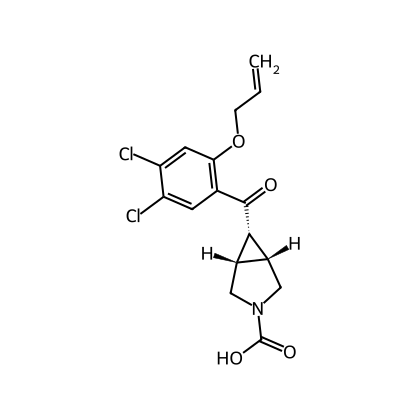 C=CCOc1cc(Cl)c(Cl)cc1C(=O)[C@@H]1[C@@H]2CN(C(=O)O)C[C@@H]21